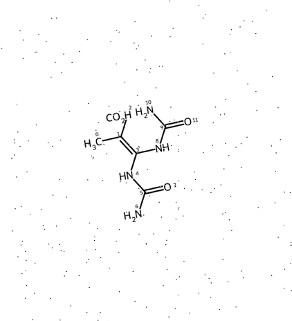 CC(C(=O)O)=C(NC(N)=O)NC(N)=O